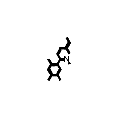 C\C=C(C)/C=C\C(=N\C)c1cc(C)c(C)cc1C